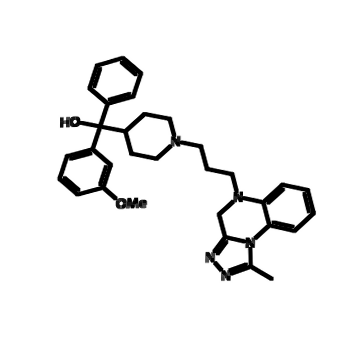 COc1cccc(C(O)(c2ccccc2)C2CCN(CCCN3Cc4nnc(C)n4-c4ccccc43)CC2)c1